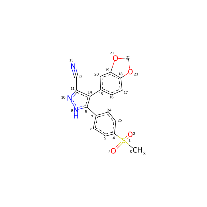 CS(=O)(=O)c1ccc(-c2[nH]nc(C#N)c2-c2ccc3c(c2)OCO3)cc1